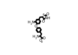 COC(=O)C(N)Cc1ccc(Oc2ccc(CC3SC(=O)NC3=O)cc2N)cc1